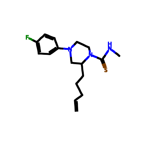 C=CCCCC1CN(c2ccc(F)cc2)CCN1C(=S)NC